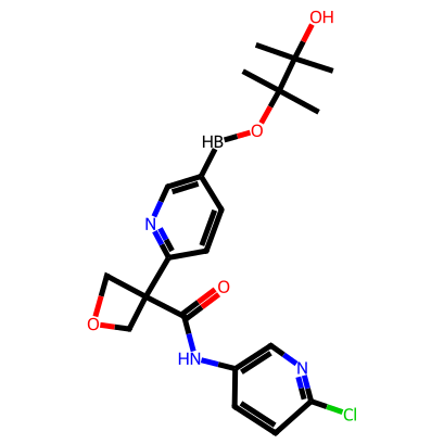 CC(C)(O)C(C)(C)OBc1ccc(C2(C(=O)Nc3ccc(Cl)nc3)COC2)nc1